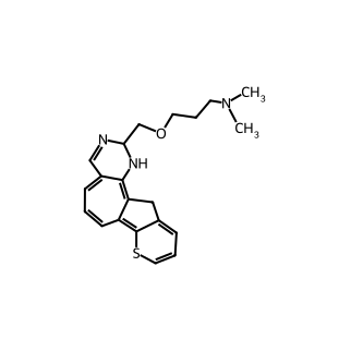 CN(C)CCCOCC1N=CC2=CC=CC3=C4SC=CC=C4CC3=C2N1